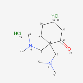 CN(C)CC1(CN(C)C)CCCCC1=O.Cl.Cl